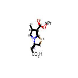 CC(C)OC(=O)C1=C2SC/C(=C\C(=O)O)N2CC1C